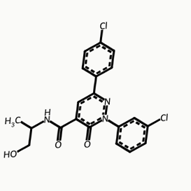 CC(CO)NC(=O)c1cc(-c2ccc(Cl)cc2)nn(-c2cccc(Cl)c2)c1=O